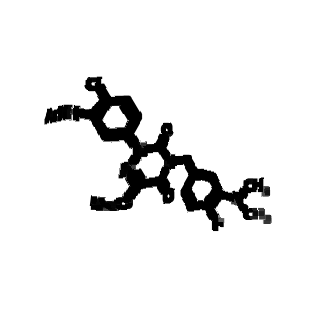 COc1nn(-c2ccc(Cl)c(NC(C)=O)c2)c(=O)n(Cc2ccc(F)c(N(C)C)c2)c1=O